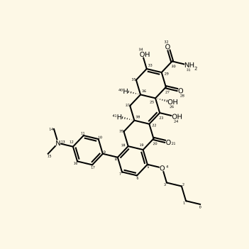 CCCCOc1ccc(-c2ccc(N(C)C)cc2)c2c1C(=O)C1=C(O)[C@]3(O)C(=O)C(C(N)=O)=C(O)C[C@@H]3C[C@@H]1C2